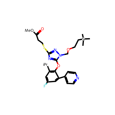 COC(=O)CCSc1nc(Oc2c(-c3ccncc3)cc(F)cc2C(C)C)n(COCC[Si](C)(C)C)n1